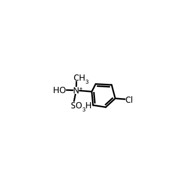 C[N+](O)(c1ccc(Cl)cc1)S(=O)(=O)O